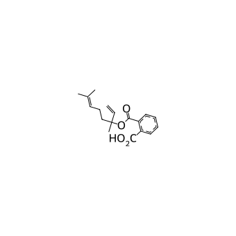 C=CC(C)(CCC=C(C)C)OC(=O)c1ccccc1C(=O)O